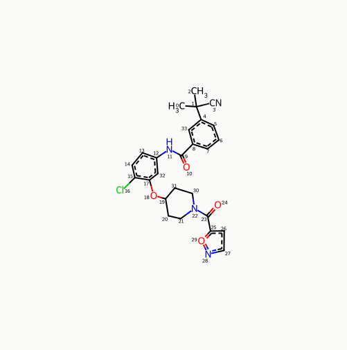 CC(C)(C#N)c1cccc(C(=O)Nc2ccc(Cl)c(OC3CCN(C(=O)c4ccno4)CC3)c2)c1